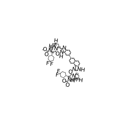 COC(=O)N[C@H](C(=O)N1[C@@H]2C[C@@H]2C[C@H]1c1nc2ccc(-c3ccc4c(ccc5[nH]c([C@@H]6C[C@H]7C[C@H]7N6C(=O)[C@@H](NC(=O)OC)C6CCC(F)(F)CC6)nc54)c3)cc2[nH]1)C1CCC(F)(F)CC1